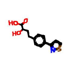 O=C(O)C(O)CCc1ccc(-c2ccsn2)cc1